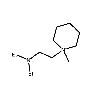 CCN(CC)CC[N+]1(C)CCCCC1